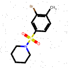 Cc1ccc(S(=O)(=O)N2CCCCC2)cc1Br